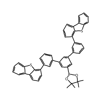 CC1(C)OB(c2cc(-c3cccc(-c4cccc5c4sc4ccccc45)c3)cc(-c3cccc(-c4cccc5c4sc4ccccc45)c3)c2)OC1(C)C